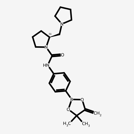 C=C1OB(c2ccc(NC(=O)N3CCC[C@H]3CN3CCCC3)cc2)OC1(C)C